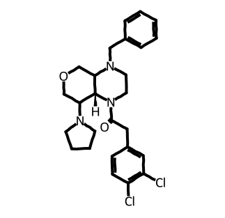 O=C(Cc1ccc(Cl)c(Cl)c1)N1CCN(Cc2ccccc2)C2COCC(N3CCCC3)[C@H]21